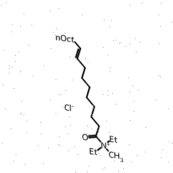 CCCCCCCCC=CCCCCCCCC(=O)[N+](C)(CC)CC.[Cl-]